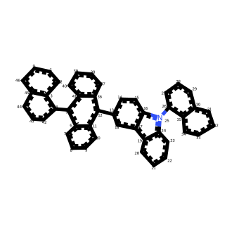 c1ccc2c(-c3c4ccccc4c(-c4ccc5c(c4)c4ccccc4n5-c4cccc5ccccc45)c4ccccc34)cccc2c1